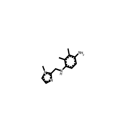 Cc1c(N)ccc(NCc2nccn2C)c1C